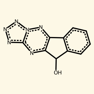 OC1c2ccccc2-c2nn3nnnc3nc21